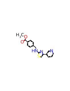 COC(=O)c1ccc(CNc2nc(-c3cccnc3)cs2)cc1